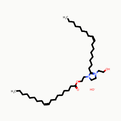 CCCCCCCC/C=C\CCCCCCCC(=O)OCCN1CC[N+](CCO)=C1CCCCCCC/C=C\CCCCCCCC.[OH-]